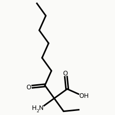 CCCCCCC(=O)C(N)(CC)C(=O)O